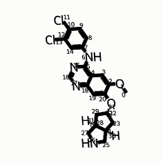 COc1cc2c(Nc3ccc(Cl)c(Cl)c3)ncnc2cc1O[C@@H]1C[C@H]2CNC[C@H]2C1